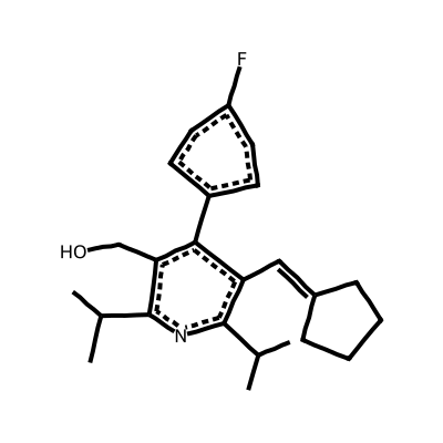 CC(C)c1nc(C(C)C)c(CO)c(-c2ccc(F)cc2)c1C=C1CCCC1